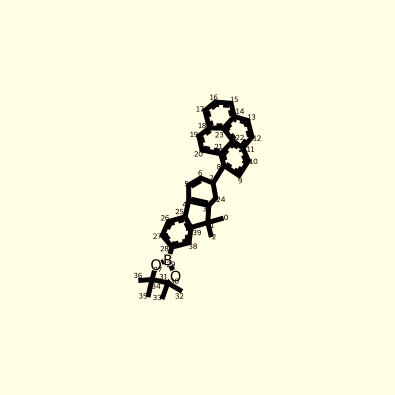 CC1(C)C2=C(C=CC(c3ccc4ccc5cccc6ccc3c4c56)C2)c2ccc(B3OC(C)(C)C(C)(C)O3)cc21